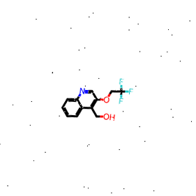 OCc1c(OCC(F)(F)F)cnc2ccccc12